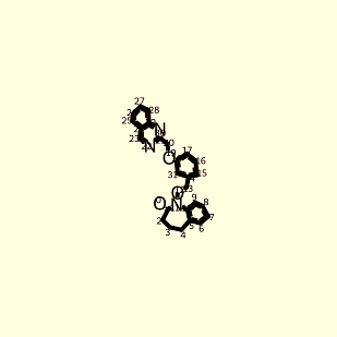 O=C1CCCc2ccccc2N1OCc1cccc(OCc2ncc3ccccc3n2)c1